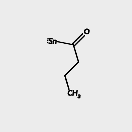 CCC[C](=O)[Sn]